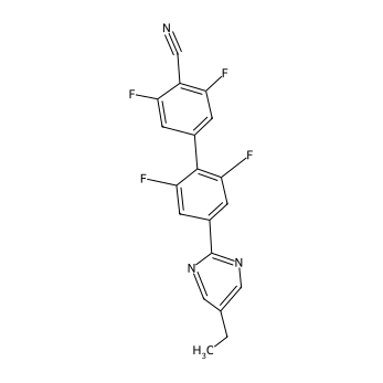 CCc1cnc(-c2cc(F)c(-c3cc(F)c(C#N)c(F)c3)c(F)c2)nc1